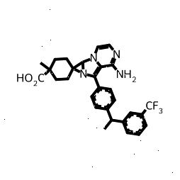 CC(c1ccc(C2=C3C(N)=NC=CN3C3N2C32CCC(C)(C(=O)O)CC2)cc1)c1cccc(C(F)(F)F)c1